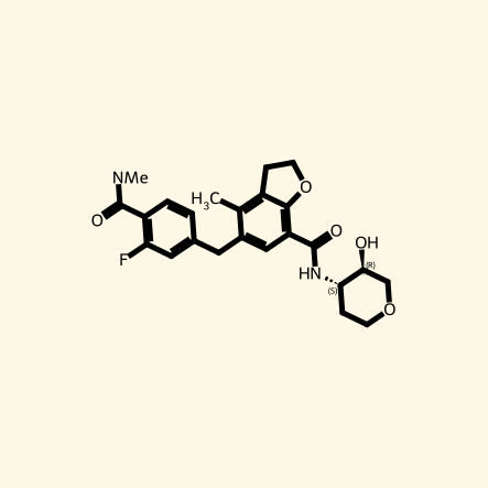 CNC(=O)c1ccc(Cc2cc(C(=O)N[C@H]3CCOC[C@@H]3O)c3c(c2C)CCO3)cc1F